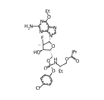 CCOc1nc(N)nc2c1ncn2[C@@H]1O[C@H](COP(=O)(N[C@@H](CC)COC(=O)C(C)C)Oc2ccc(Cl)cc2)[C@@H](O)[C@@]1(C)F